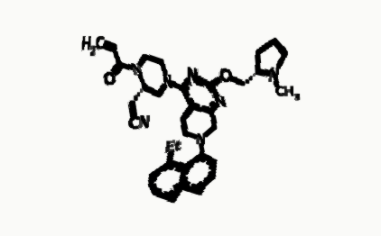 C=CC(=O)N1CCN(c2nc(OC[C@@H]3CCCN3C)nc3c2CCN(c2cccc4cccc(CC)c24)C3)C[C@@H]1CC#N